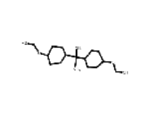 CC(C)(C1CCC(OCO)CC1)C1CCC(OCO)CC1